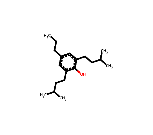 CCCc1cc(CCC(C)C)c(O)c(CCC(C)C)c1